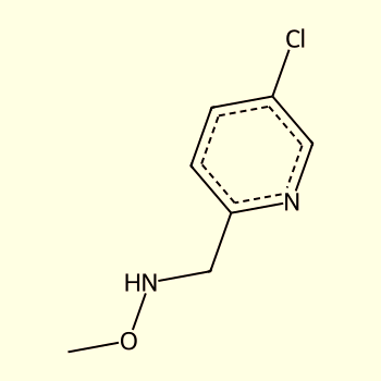 CONCc1ccc(Cl)cn1